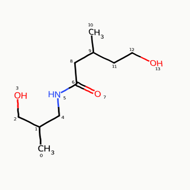 CC(CO)CNC(=O)CC(C)CCO